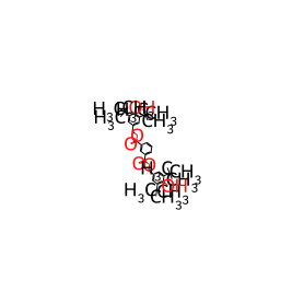 CC(C)(C)c1cc(COC(=O)c2cccc(C(=O)OCc3cc(C(C)(C)C)c(O)c(C(C)(C)C)c3)c2)cc(C(C)(C)C)c1O